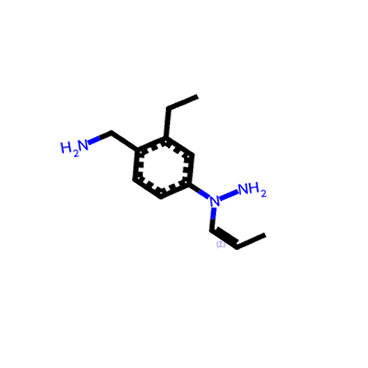 C/C=C\N(N)c1ccc(CN)c(CC)c1